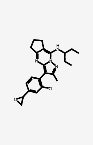 CCC(CC)Nc1c2c(nc3c(-c4ccc(C5CO5)cc4Cl)c(C)nn13)CCC2